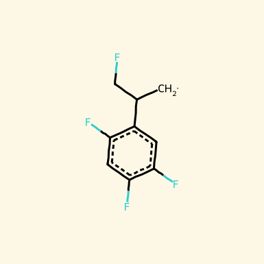 [CH2]C(CF)c1cc(F)c(F)cc1F